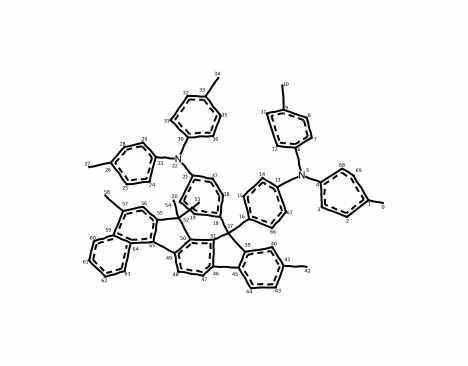 Cc1ccc(N(c2ccc(C)cc2)c2ccc(C3(c4ccc(N(c5ccc(C)cc5)c5ccc(C)cc5)cc4)c4cc(C)ccc4-c4ccc5c(c43)C(C)(C)c3cc(C)c4ccccc4c3-5)cc2)cc1